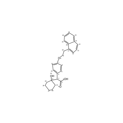 O=C(O)C(c1ccc(OCCc2cccc3ccccc23)cc1)C1(O)CCCCC1